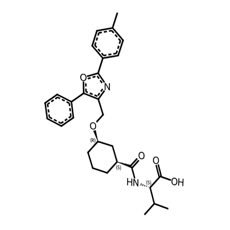 Cc1ccc(-c2nc(CO[C@@H]3CCC[C@H](C(=O)N[C@H](C(=O)O)C(C)C)C3)c(-c3ccccc3)o2)cc1